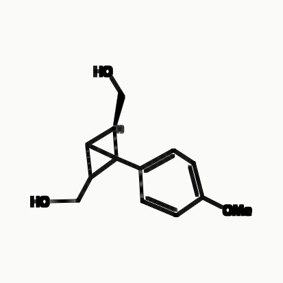 COc1ccc(C23C(CO)C2[C@H]3CO)cc1